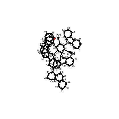 N#Cc1c(-n2c3ccccc3c3ccccc32)c(C#N)c(-n2c3ccccc3c3ccccc32)c(-n2c3ccc(-c4cccc5c4ccc4ccccc45)cc3c3ccc4oc5ccccc5c4c32)c1-n1c2ccccc2c2ccccc21